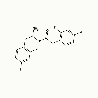 NC(Cc1ccc(F)cc1F)OC(=O)Cc1ccc(F)cc1F